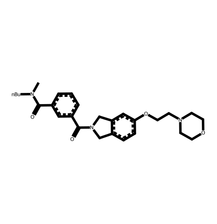 CCCCN(C)C(=O)c1cccc(C(=O)N2Cc3ccc(OCCN4CCOCC4)cc3C2)c1